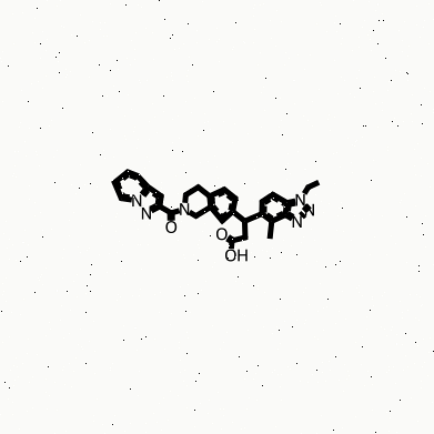 CCn1nnc2c(C)c(C(CC(=O)O)c3ccc4c(c3)CN(C(=O)c3cc5ccccn5n3)CC4)ccc21